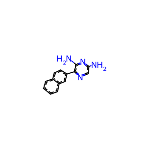 Nc1cnc(-c2ccc3ccccc3c2)c(N)n1